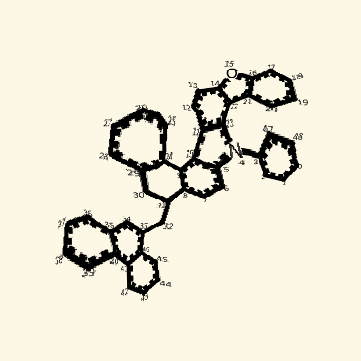 c1ccc(-n2c3ccc4c(c3c3ccc5oc6ccccc6c5c32)-c2ccccc2CC4Cc2cc3ccccc3c3ccccc23)cc1